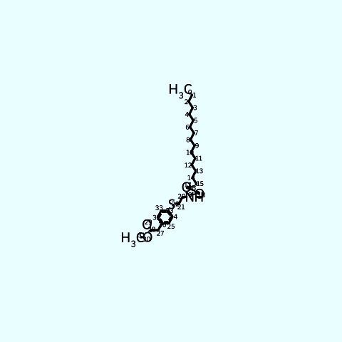 CCCCCCCCCCCCCCCCS(=O)(=O)NCCSc1ccc(CC(=O)OC)cc1